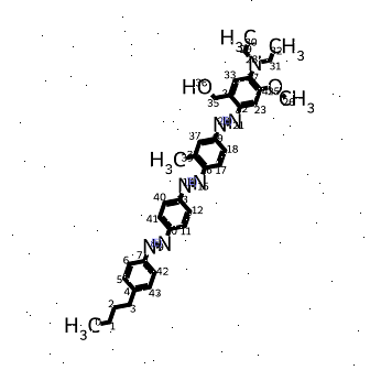 CCCCc1ccc(/N=N/c2ccc(/N=N/c3ccc(/N=N/c4cc(OC)c(N(CC)CC)cc4CO)cc3C)cc2)cc1